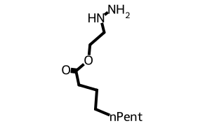 CCCCCCCCC(=O)OCCNN